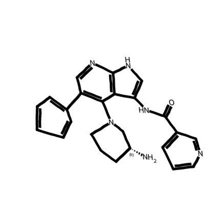 N[C@@H]1CCCN(c2c(-c3ccccc3)cnc3[nH]cc(NC(=O)c4cccnc4)c23)C1